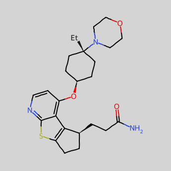 CC[C@]1(N2CCOCC2)CC[C@H](Oc2ccnc3sc4c(c23)[C@@H](CCC(N)=O)CC4)CC1